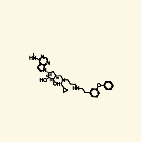 CNc1ncnc2c1ccn2[C@@H]1C[C@H](CN(CCCNCCc2cccc(Oc3ccccc3)c2)CC2CC2)[C@@H](O)[C@H]1O